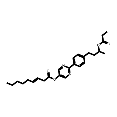 CCCCCC=CCC(=O)Oc1cnc(-c2ccc(CCC(C)OC(=O)CC)cc2)nc1